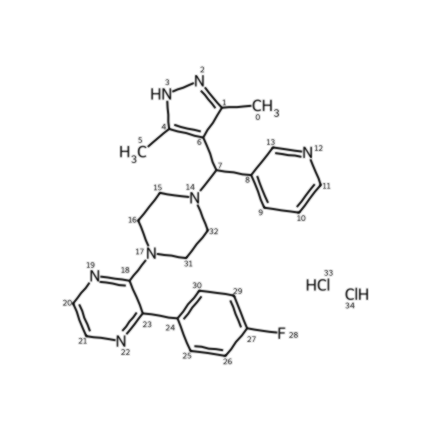 Cc1n[nH]c(C)c1C(c1cccnc1)N1CCN(c2nccnc2-c2ccc(F)cc2)CC1.Cl.Cl